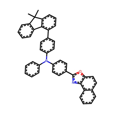 CC1(C)c2ccccc2-c2c(-c3ccc(N(c4ccccc4)c4ccc(-c5nc6c(ccc7ccccc76)o5)cc4)cc3)cccc21